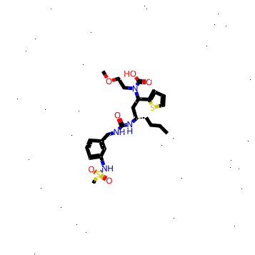 CCCC[C@@H](CC(c1cccs1)N(CCOC)C(=O)O)NC(=O)NCc1cccc(NS(C)(=O)=O)c1